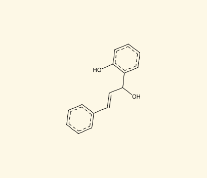 Oc1ccccc1C(O)C=Cc1ccccc1